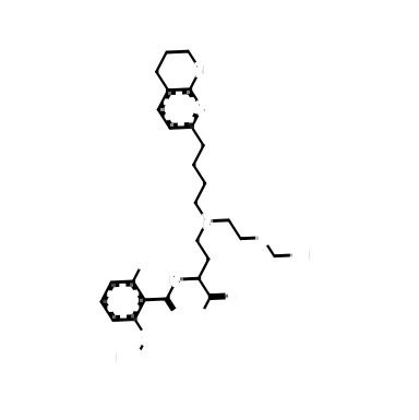 CCOCCN(CCCCc1ccc2c(n1)NCCC2)CCC(NC(=O)c1c(F)cccc1OC)C(=O)O